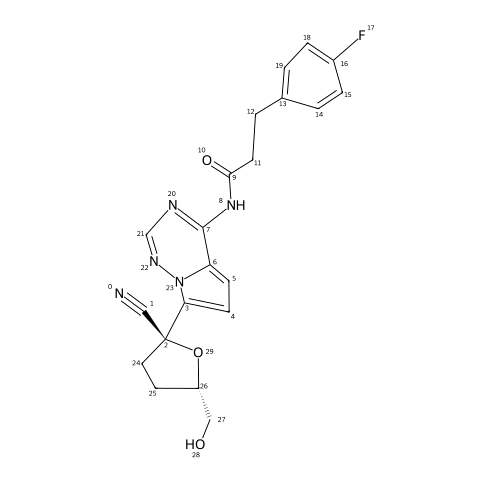 N#C[C@]1(c2ccc3c(NC(=O)CCc4ccc(F)cc4)ncnn23)CC[C@@H](CO)O1